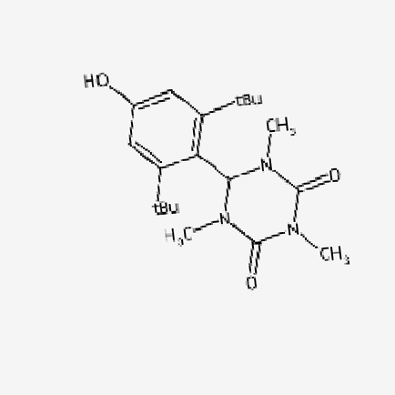 CN1C(=O)N(C)C(c2c(C(C)(C)C)cc(O)cc2C(C)(C)C)N(C)C1=O